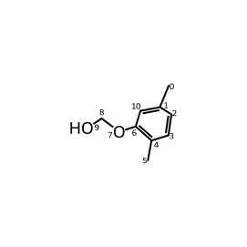 Cc1ccc(C)c(OCO)c1